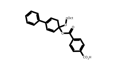 CCCCCCCCOC1(OC(=O)c2ccc(C(=O)O)cc2)C=CC(c2ccccc2)=CC1